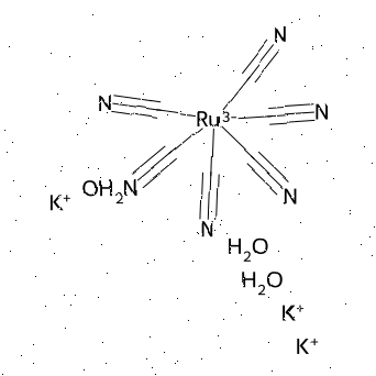 N#[C][Ru-3]([C]#N)([C]#N)([C]#N)([C]#N)[C]#N.O.O.O.[K+].[K+].[K+]